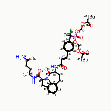 C[C@H](CCC(N)=O)NC(=O)[C@@H]1Cc2cccc3c2N1C(=O)[C@@H](NC(=O)/C=C/c1ccc(C(F)(F)P(=O)(OCOC(=O)C(C)(C)C)OCOC(=O)C(C)(C)C)cc1)CC3